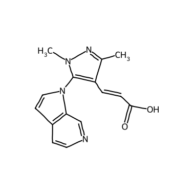 Cc1nn(C)c(-n2ccc3ccncc32)c1C=CC(=O)O